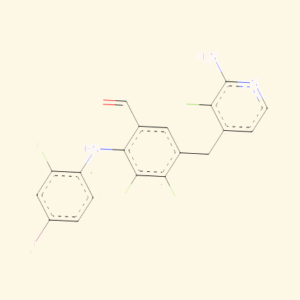 Nc1nccc(Cc2cc([C]=O)c(Nc3ccc(I)cc3F)c(F)c2F)c1F